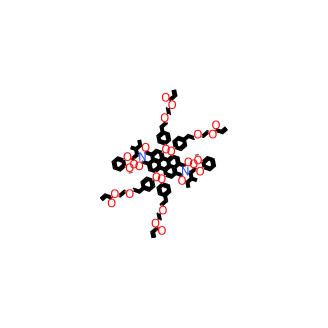 C=CC(=O)OCCOCCc1ccc(Oc2cc3c4c(cc(Oc5ccc(CCOCCOC(=O)C=C)cc5)c5c6c(Oc7ccc(CCOCCOC(=O)C=C)cc7)cc7c8c(cc(Oc9ccc(CCOCCOC(=O)C=C)cc9)c(c2c45)c86)C(=O)N(C(C(=O)Oc2ccccc2OC)C(C)CC)C7=O)C(=O)N(C(C(=O)Oc2ccccc2OC)C(C)CC)C3=O)cc1